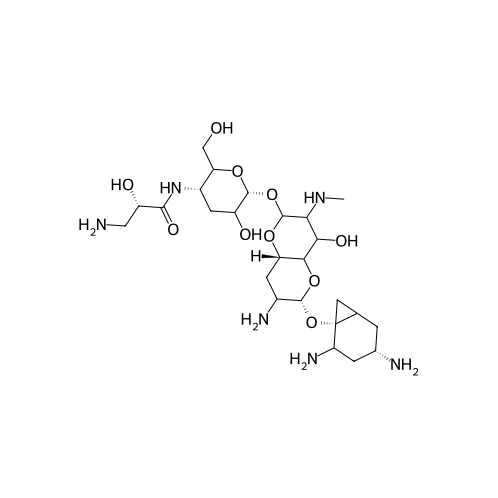 CNC1C(O[C@H]2OC(CO)[C@@H](NC(=O)[C@@H](O)CN)CC2O)O[C@H]2CC(N)[C@@H](O[C@]34CC3C[C@H](N)CC4N)OC2C1O